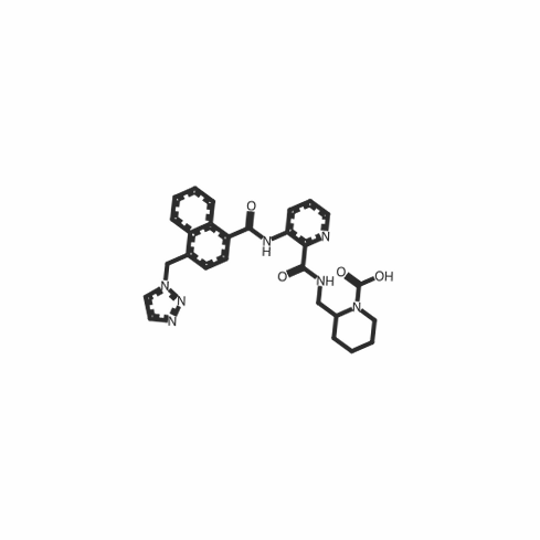 O=C(NCC1CCCCN1C(=O)O)c1ncccc1NC(=O)c1ccc(Cn2ccnn2)c2ccccc12